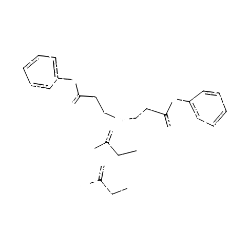 CCC(=O)[O-].CCC(=O)[O-].O=C(C[CH2][Sn+2][CH2]CC(=O)Oc1ccccc1)Oc1ccccc1